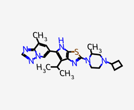 Cc1cc(-c2[nH]c3sc(N4CCN(C5CCC5)CC4C)nc3c2C(C)C)cn2ncnc12